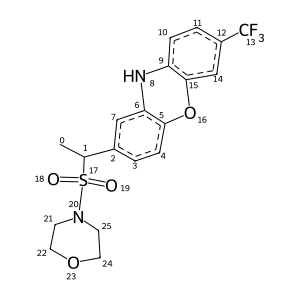 CC(c1ccc2c(c1)Nc1ccc(C(F)(F)F)cc1O2)S(=O)(=O)N1CCOCC1